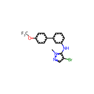 Cn1ncc(Br)c1Nc1cccc(-c2ccc(OC(F)(F)F)cc2)c1